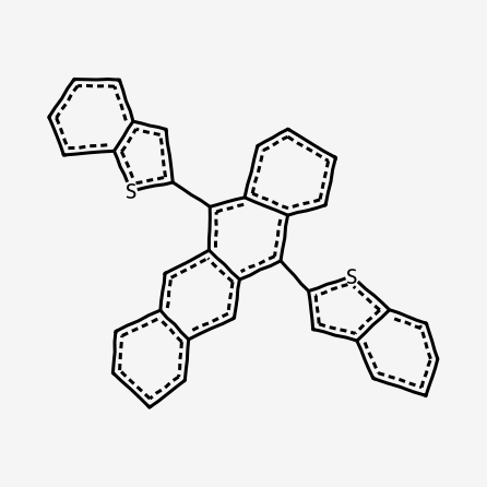 c1ccc2cc3c(-c4cc5ccccc5s4)c4ccccc4c(-c4cc5ccccc5s4)c3cc2c1